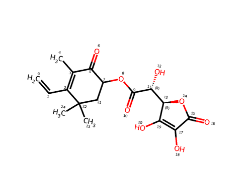 C=CC1=C(C)C(=O)C(OC(=O)[C@H](O)[C@H]2OC(=O)C(O)=C2O)CC1(C)C